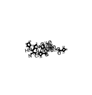 N#Cc1c(Cl)nc2c(ccn2[C@@H]2O[C@H](CS(=O)(=O)CP(=O)(OCOC(=O)C3CCC3)OCOC(=O)C3CCC3)[C@@H](O)[C@H]2O)c1NC1CCCC1